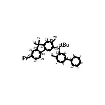 Cc1ccc(-c2ccccc2)cc1N(c1cc2c(cc1C)C(C)(C)c1cc(C(C)C)ccc1-2)C(C)(C)C